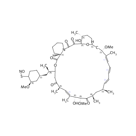 CO[C@H]1C[C@@H]2CC[C@@H](C)[C@@](O)(O2)C(=O)C(=O)N2CCCC[C@H]2C(=O)OC([C@H](C)C[C@@H]2CCC(SN=O)[C@H](OC)C2)CC(=O)[C@H](C)/C=C(\C)[C@@H](O)[C@@H](OC)C(=O)[C@H](C)C[C@H](C)/C=C/C=C/C=C/1C